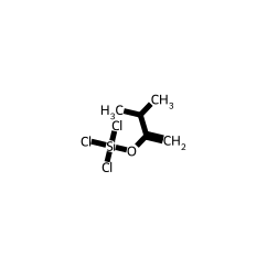 C=C(O[Si](Cl)(Cl)Cl)C(C)C